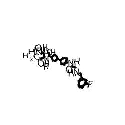 C=C(N[C@H](C(=O)NO)[C@@H](C)O)c1ccc(-c2ccc(NC(=O)CNCc3cccc(F)c3)cc2)cc1